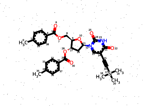 Cc1ccc(C(=O)OC[C@H]2O[C@@H](n3cc(C#C[Si](C)(C)C)c(=O)[nH]c3=O)C[C@@H]2OC(=O)c2ccc(C)cc2)cc1